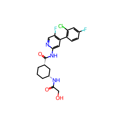 O=C(CO)N[C@@H]1CCC[C@H](C(=O)Nc2cc(-c3ccc(F)cc3Cl)c(F)cn2)C1